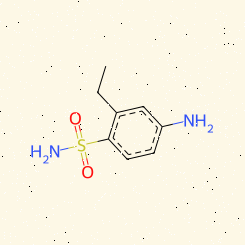 CCc1cc(N)ccc1S(N)(=O)=O